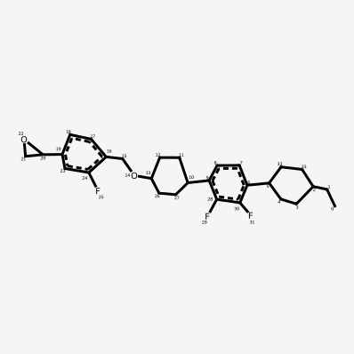 CCC1CCC(c2ccc(C3CCC(OCc4ccc(C5CO5)cc4F)CC3)c(F)c2F)CC1